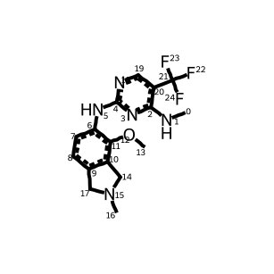 CNc1nc(Nc2ccc3c(c2OC)CN(C)C3)ncc1C(F)(F)F